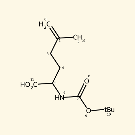 C=C(C)CCC(NC(=O)OC(C)(C)C)C(=O)O